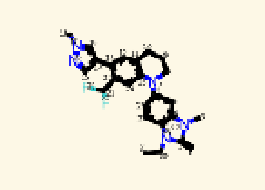 C=C1N(C)c2cc(N3CCCc4cc(-c5cnn(C)c5)c(C(F)F)cc43)ccc2N1CC